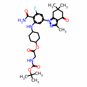 Cc1nn(-c2cc(F)c(C(N)=O)c(NC3CCC(OC(=O)CNC(=O)OC(C)(C)C)CC3)c2)c2c1C(=O)CC(C)(C)C2